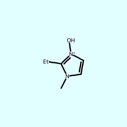 CCc1n(C)cc[n+]1O